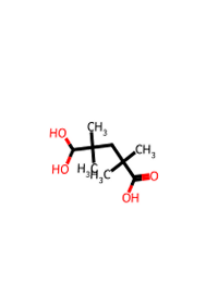 CC(C)(CC(C)(C)C(O)O)C(=O)O